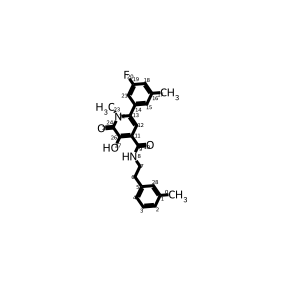 Cc1cccc(CCNC(=O)c2cc(-c3cc(C)cc(F)c3)n(C)c(=O)c2O)c1